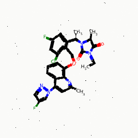 CCN1C(=O)C(C)N([C@@H](C)c2cc(F)cc(Cl)c2COc2cccc3c(-n4cc(F)cn4)cc(C)nc23)C1=O